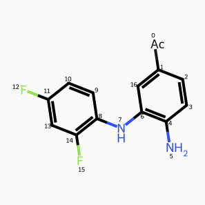 CC(=O)c1ccc(N)c(Nc2ccc(F)cc2F)c1